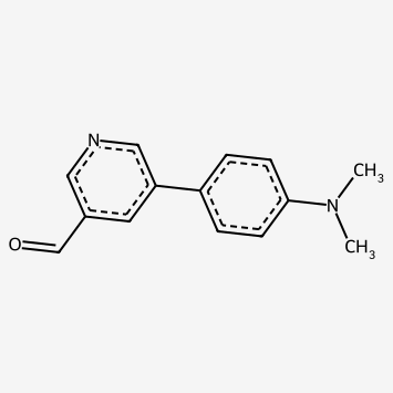 CN(C)c1ccc(-c2cncc(C=O)c2)cc1